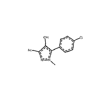 CC(=O)c1nn(C)c(-c2ccc(Cl)cc2)c1O